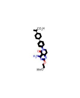 COCCOc1nc(N)c2c(n1)CCN(c1ccc([C@H]3CC[C@H](C(C)C(=O)O)CC3)cc1)C2=O